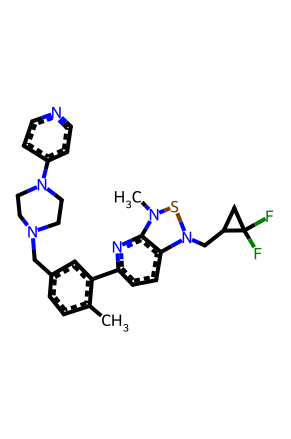 Cc1ccc(CN2CCN(c3ccncc3)CC2)cc1-c1ccc2c(n1)N(C)SN2CC1CC1(F)F